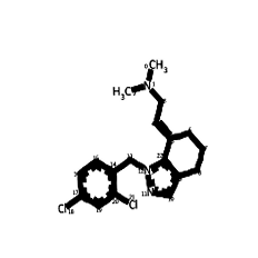 CN(C)C/C=C1\CCCc2cnn(Cc3ccc(Cl)cc3Cl)c21